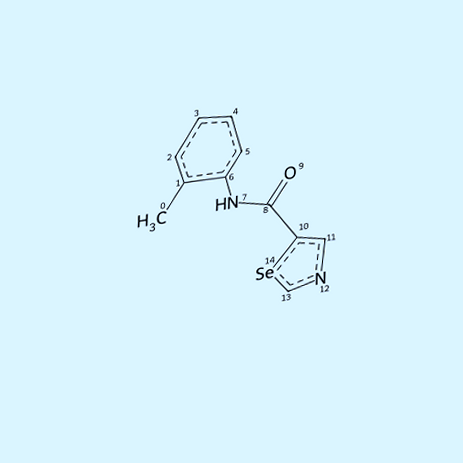 Cc1ccccc1NC(=O)c1cnc[se]1